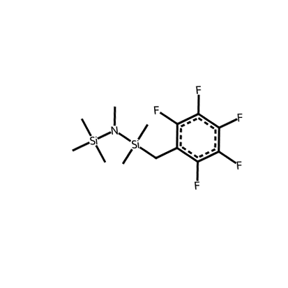 CN([Si](C)(C)C)[Si](C)(C)Cc1c(F)c(F)c(F)c(F)c1F